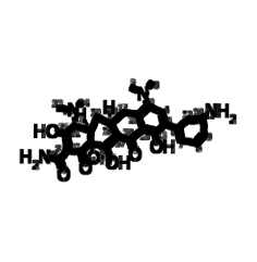 CN(C)c1cc(-c2cccc(N)c2)c(O)c2c1C[C@@H]1C[C@@H]3[C@@H](N(C)C)C(O)=C(C(N)=O)C(=O)[C@]3(O)C(O)=C1C2=O